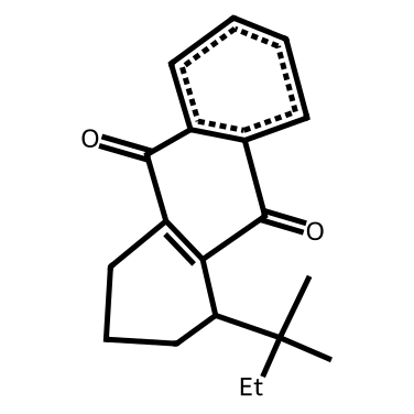 CCC(C)(C)C1CCCC2=C1C(=O)c1ccccc1C2=O